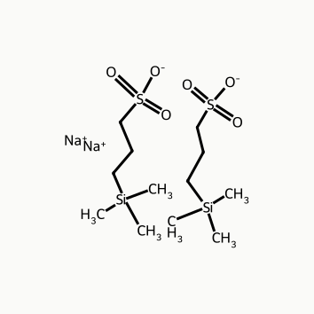 C[Si](C)(C)CCCS(=O)(=O)[O-].C[Si](C)(C)CCCS(=O)(=O)[O-].[Na+].[Na+]